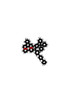 c1ccc(-c2ccc(-c3ccc(N(c4ccc(-c5ccccc5)cc4)c4cc5c(cc4-c4ccc6c7ccccc7c7ccccc7c6c4)-c4ccccc4C5(c4ccccc4)c4ccccc4)cc3)cc2)cc1